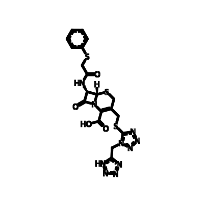 O=C(CSc1ccccc1)N[C@@H]1C(=O)N2C(C(=O)O)=C(CSc3nnnn3Cc3nnn[nH]3)CS[C@@H]12